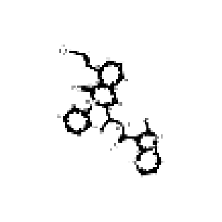 Cc1nn2cccnc2c1C(=O)NC(C)c1cc2cccc(/C=C/C(F)(F)F)c2c(=O)n1-c1ccccc1